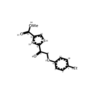 CCc1ccc(OCC(=O)c2nc(C(=O)OC)cs2)cc1